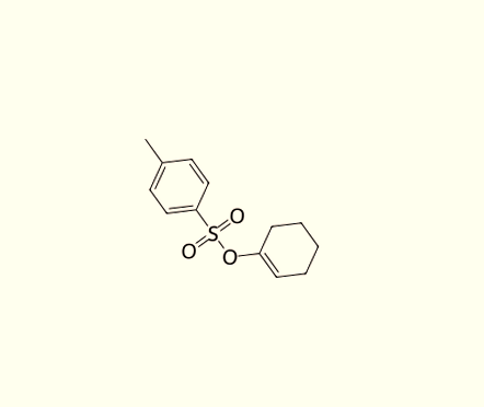 Cc1ccc(S(=O)(=O)OC2=CCCCC2)cc1